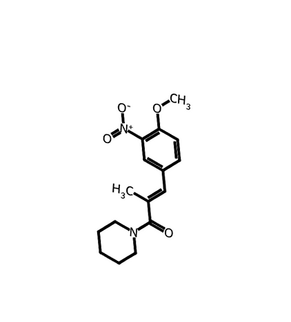 COc1ccc(/C=C(\C)C(=O)N2CCCCC2)cc1[N+](=O)[O-]